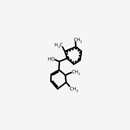 Cc1cccc(C(O)C2=CC=CC(C)C2C)c1C